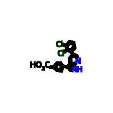 O=C(O)Cc1ccc(-c2c[nH]c3ncc(-c4cccc(Cl)c4Cl)cc23)cc1